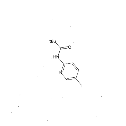 CC(C)(C)C(=O)Nc1ccc(I)cn1